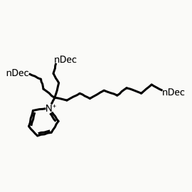 CCCCCCCCCCCCCCCCCCC(CCCCCCCCCCCC)(CCCCCCCCCCCC)[n+]1ccccc1